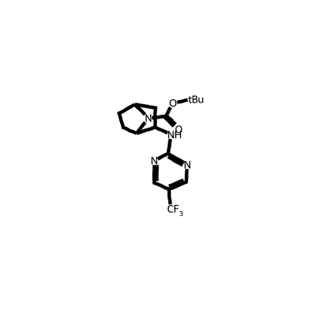 CC(C)(C)OC(=O)N1C2CCC1C(Nc1ncc(C(F)(F)F)cn1)C2